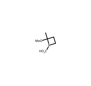 COC1(C)CCN1C(=O)O